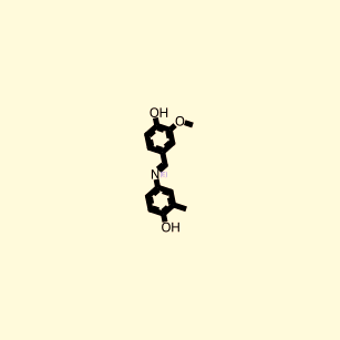 COc1cc(/C=N/c2ccc(O)c(C)c2)ccc1O